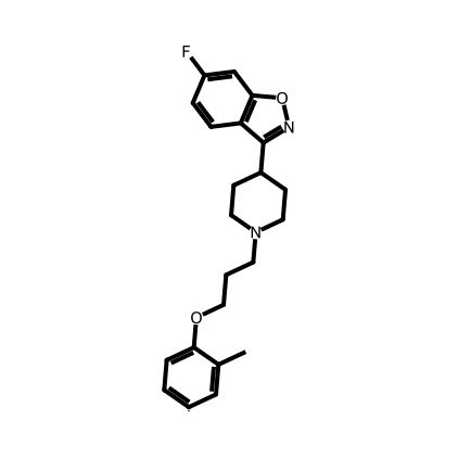 Cc1c[c]ccc1OCCCN1CCC(c2noc3cc(F)ccc23)CC1